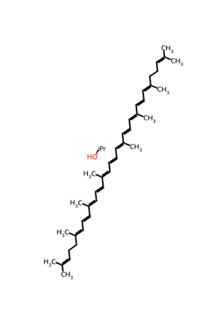 CC(C)=CCC/C(C)=C/C=C/C(C)=C/C=C/C(C)=C/C=C/C=C(C)/C=C/C=C(C)/C=C/C=C(\C)CCC=C(C)C.CC(C)O